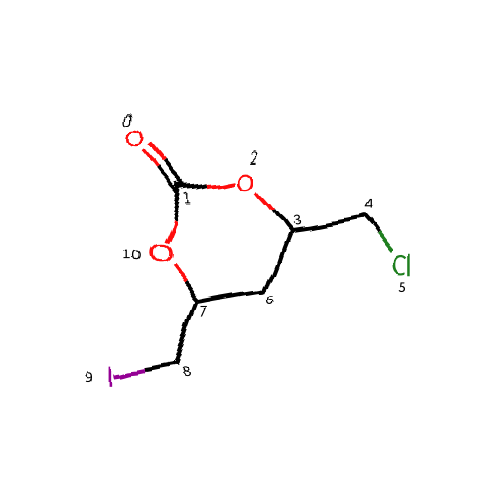 O=C1OC(CCl)CC(CI)O1